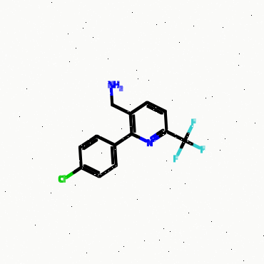 NCc1ccc(C(F)(F)F)nc1-c1ccc(Cl)cc1